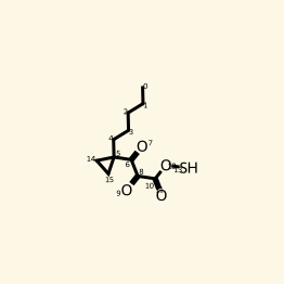 CCCCCC1(C(=O)C(=O)C(=O)OS)CC1